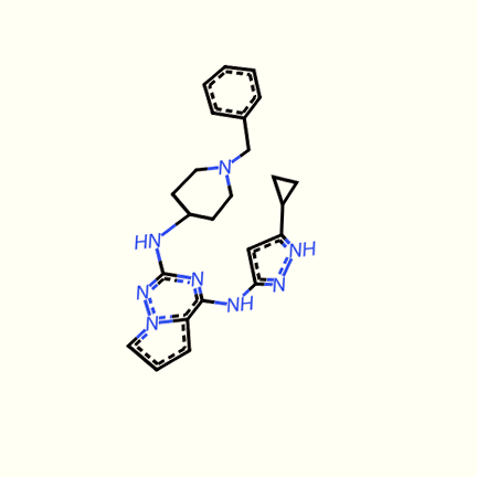 c1ccc(CN2CCC(Nc3nc(Nc4cc(C5CC5)[nH]n4)c4cccn4n3)CC2)cc1